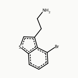 NCCc1csc2cccc(Br)c12